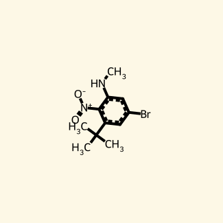 CNc1cc(Br)cc(C(C)(C)C)c1[N+](=O)[O-]